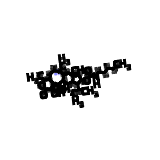 C=C1C2CC3C(C(C)C)C(OC(=O)NCCCCC)CC3(C)CC2/C(C)=C\CC2C(C)OC(=O)C(O)C12O